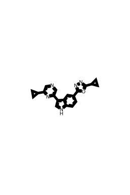 c1cc2[nH]cc(-c3cncc(C4CC4)n3)c2cc1-c1nnc(C2CC2)o1